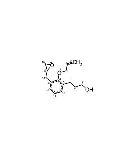 C=CCOc1c(CCCO)cccc1CC1CO1